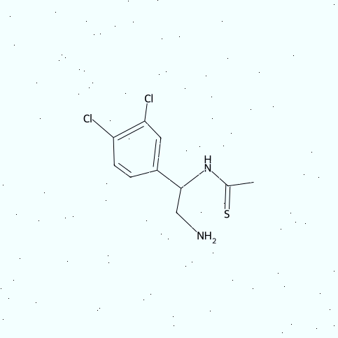 CC(=S)NC(CN)c1ccc(Cl)c(Cl)c1